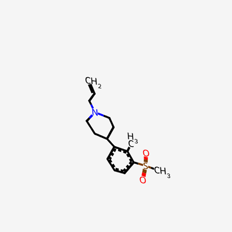 C=CCN1CCC(c2cccc(S(C)(=O)=O)c2C)CC1